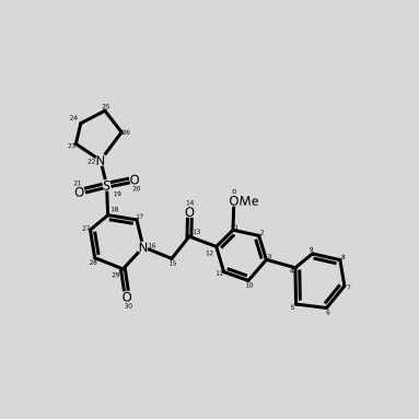 COc1cc(-c2ccccc2)ccc1C(=O)Cn1cc(S(=O)(=O)N2CCCC2)ccc1=O